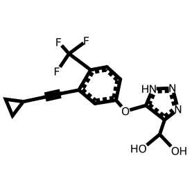 OC(O)c1nn[nH]c1Oc1ccc(C(F)(F)F)c(C#CC2CC2)c1